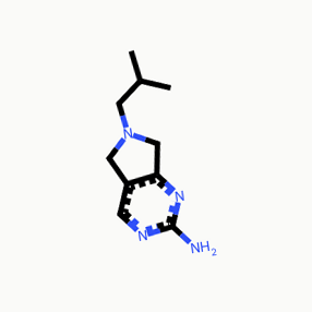 C[C](C)CN1Cc2cnc(N)nc2C1